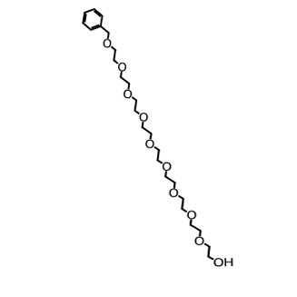 OCCOCCOCCOCCOCCOCCOCCOCCOCCOCc1ccccc1